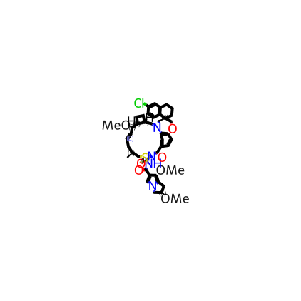 COc1c(C(=O)N[S@@]2(=O)=NC(=O)c3ccc4c(c3)N(C[C@@H]3CC[C@H]3[C@@H](OC)/C=C/C[C@H](C)C2)C[C@@]2(CCCc3cc(Cl)ccc32)CO4)cn2c1C[C@H](OC)C2